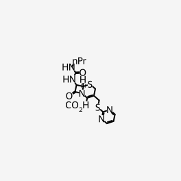 CCCNC(=O)NC1C(=O)N2C(C(=O)O)=C(CSc3ncccn3)CS[C@@H]12